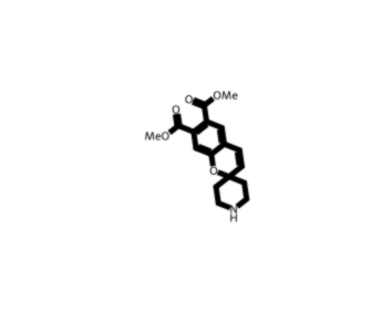 COC(=O)c1cc2c(cc1C(=O)OC)OC1(C=C2)CCNCC1